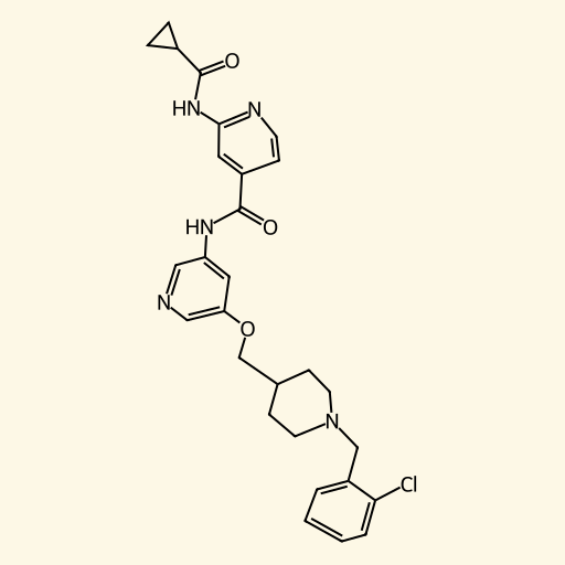 O=C(Nc1cncc(OCC2CCN(Cc3ccccc3Cl)CC2)c1)c1ccnc(NC(=O)C2CC2)c1